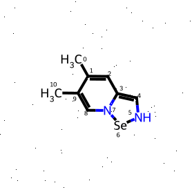 CC1=CC2=CN[Se]N2C=C1C